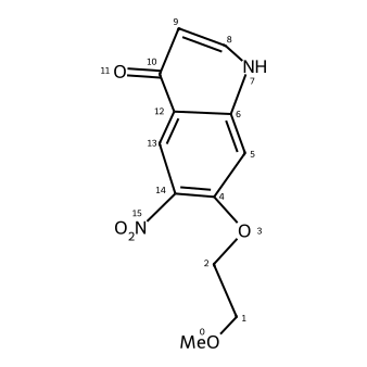 COCCOc1cc2[nH]ccc(=O)c2cc1[N+](=O)[O-]